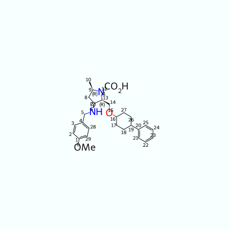 COc1ccc(CN[C@H]2C[C@@H](C)N(C(=O)O)[C@H]2COC2CCC(c3ccccc3)CC2)cc1